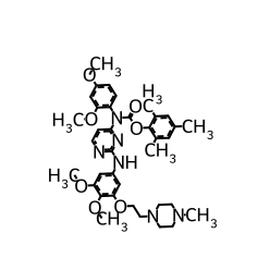 COc1ccc(N(C(=O)Oc2c(C)cc(C)cc2C)c2ccnc(Nc3cc(OC)c(OC)c(OCCN4CCN(C)CC4)c3)n2)c(OC)c1